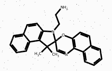 CC1(C)c2c(ccc3ccccc23)N(CCN)C12C=Nc1c(ccc3ccccc13)O2